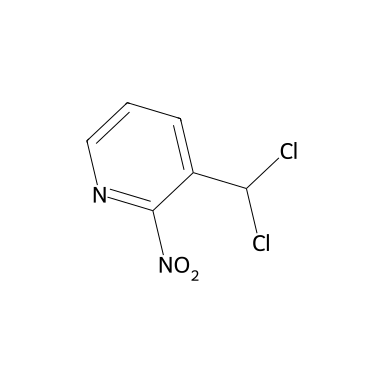 O=[N+]([O-])c1ncccc1C(Cl)Cl